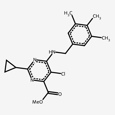 COC(=O)c1nc(C2CC2)nc(NCc2cc(C)c(C)c(C)c2)c1Cl